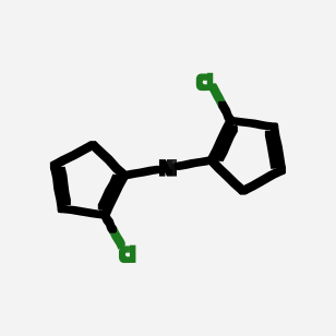 ClC1=[C]([Ni][C]2=C(Cl)C=CC2)CC=C1